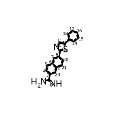 N=C(N)c1ccc2cc(-c3ncc(-c4ccccc4)s3)ccc2c1